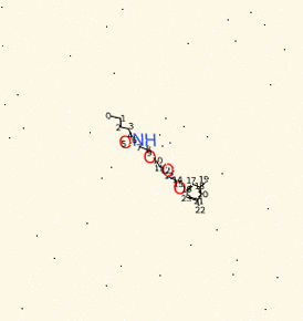 CCCCC(=O)NCCOCCOCCOc1cc(C)cc(C)c1